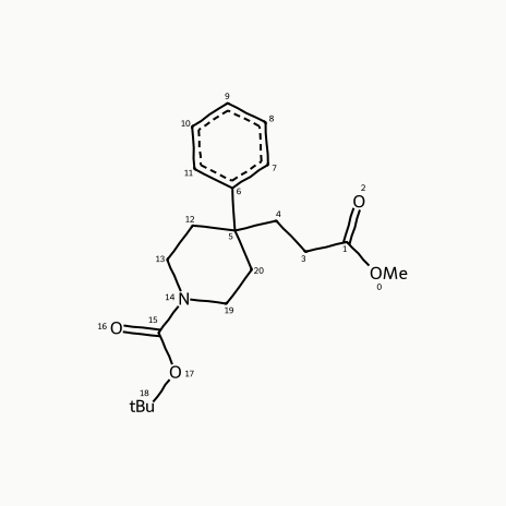 COC(=O)CCC1(c2ccccc2)CCN(C(=O)OC(C)(C)C)CC1